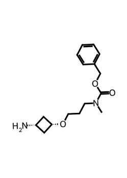 CN(CCCO[C@H]1C[C@@H](N)C1)C(=O)OCc1ccccc1